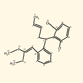 CC=CCN(c1ccccc1C=C(SC)SC)c1c(Cl)cccc1Cl